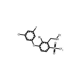 CCNCc1c(S(=O)(=O)C(F)(F)F)ccc(Oc2cc(F)cc(Cl)c2)c1Br